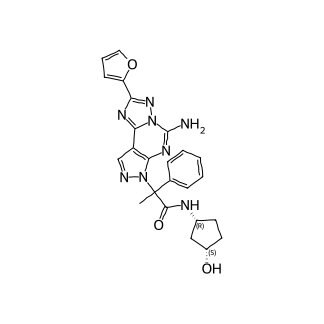 CC(C(=O)N[C@@H]1CC[C@H](O)C1)(c1ccccc1)n1ncc2c1nc(N)n1nc(-c3ccco3)nc21